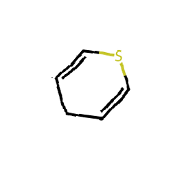 [C]1=CSC=CC1